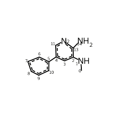 CNc1cc(-c2ccccc2)cnc1N